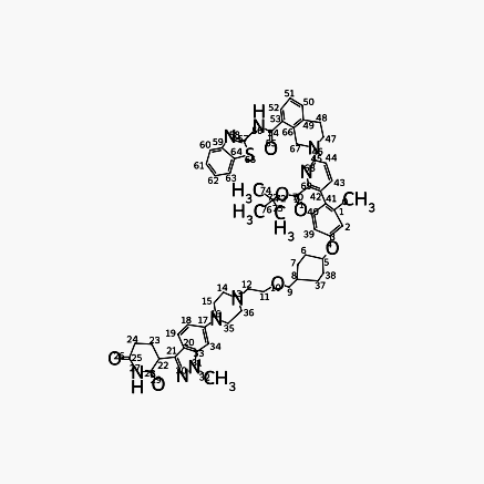 Cc1cc(OC2CCC(COCCN3CCN(c4ccc5c(C6CCC(=O)NC6=O)nn(C)c5c4)CC3)CC2)ccc1-c1ccc(N2CCc3cccc(C(=O)Nc4nc5ccccc5s4)c3C2)nc1C(=O)OC(C)(C)C